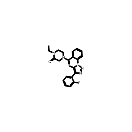 CCN1CCN(c2nc3c(-c4ccccc4F)nnn3c3ccccc23)CC1=O